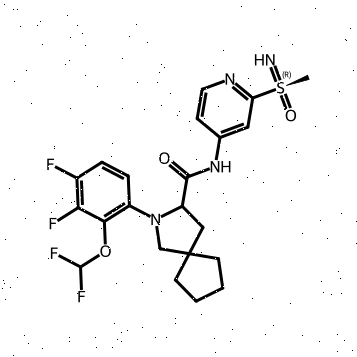 C[S@@](=N)(=O)c1cc(NC(=O)C2CC3(CCCC3)CN2c2ccc(F)c(F)c2OC(F)F)ccn1